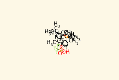 CC(C)c1cc(C(C)C)c(-c2ccccc2P(C(C)(C)C)C(C)(C)C)c(C(C)C)c1.O=S(=O)(O)C(F)(F)F.[Pd]